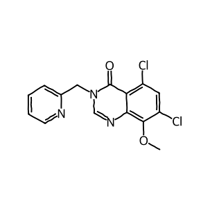 COc1c(Cl)cc(Cl)c2c(=O)n(Cc3ccccn3)cnc12